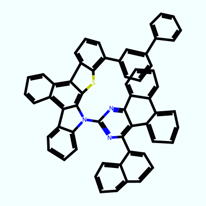 c1ccc(-c2cccc(-c3cccc4c3sc3c4c4ccccc4c4c5ccccc5n(-c5nc(-c6cccc7ccccc67)c6c7ccccc7c7ccccc7c6n5)c34)c2)cc1